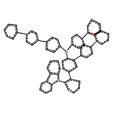 c1ccc(-c2ccc(-c3ccc(N(c4ccc(-c5ccccc5)cc4)c4ccc(-c5ccccc5-n5c6ccccc6c6ccccc65)cc4-c4ccc(-c5ccccc5)cc4)cc3)cc2)cc1